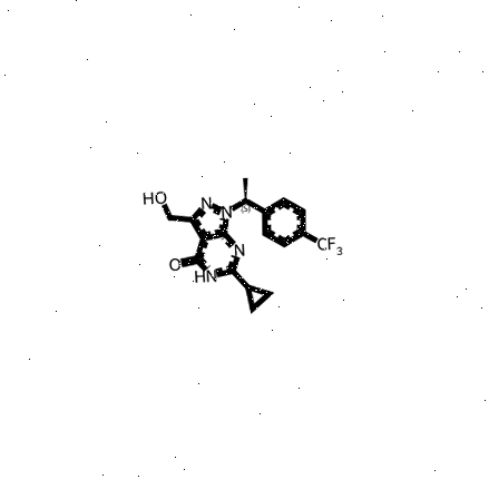 C[C@@H](c1ccc(C(F)(F)F)cc1)n1nc(CO)c2c(=O)[nH]c(C3CC3)nc21